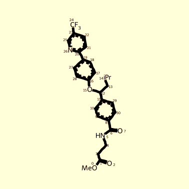 COC(=O)CCNC(=O)c1ccc(C(CC(C)C)Oc2ccc(-c3ccc(C(F)(F)F)cn3)cc2)cc1